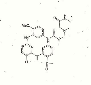 C=C(CN1CCNC(=O)C1)C(=O)Nc1ccc(OC)c(Nc2ncc(Cl)c(Nc3ccccc3P(C)(C)=O)n2)c1